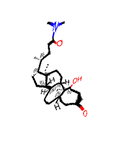 C[C@H](CCC(=O)N(C)C)[C@H]1CC[C@H]2[C@@H]3CC[C@H]4CC(=O)C[C@H](O)[C@]4(C)[C@H]3CC[C@]12C